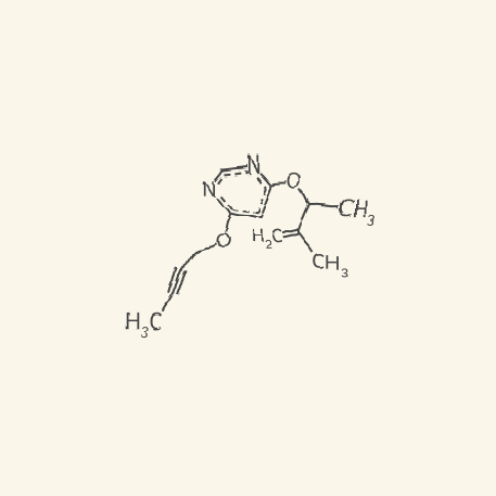 C=C(C)C(C)Oc1cc(OCC#CC)ncn1